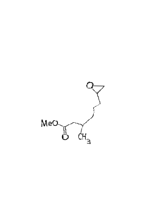 COC(=O)CC(C)CCCC1CO1